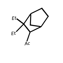 CCC1(CC)C2CCC(C2)C1C(C)=O